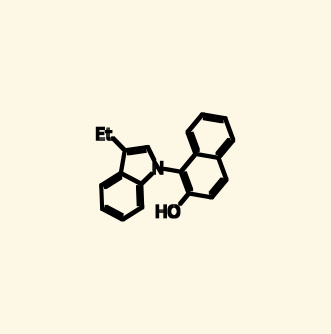 CCc1cn(-c2c(O)ccc3ccccc23)c2ccccc12